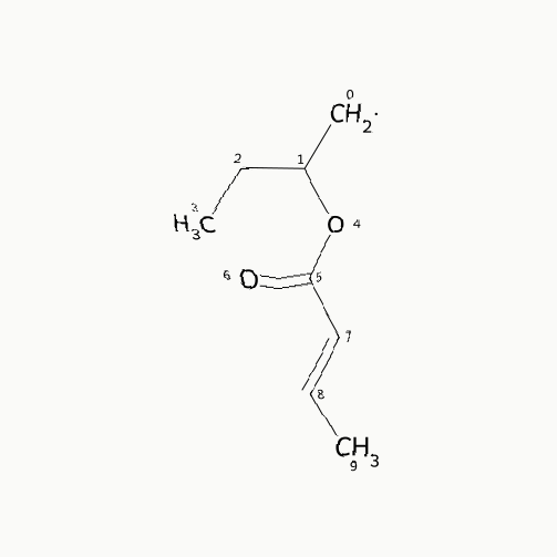 [CH2]C(CC)OC(=O)C=CC